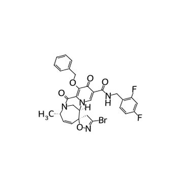 C[C@H]1C=C[C@@]2(CC(Br)=NO2)[C@H]2CN1C(=O)c1c(OCc3ccccc3)c(=O)c(C(=O)NCc3ccc(F)cc3F)cn12